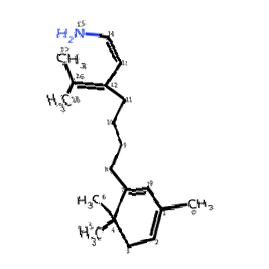 CC1=CCC(C)(C)C(CCCCC(/C=C\N)=C(C)C)=C1